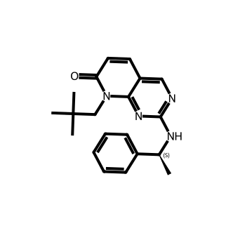 C[C@H](Nc1ncc2ccc(=O)n(CC(C)(C)C)c2n1)c1ccccc1